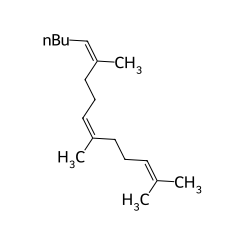 C[CH]CCC=C(C)CCC=C(C)CCC=C(C)C